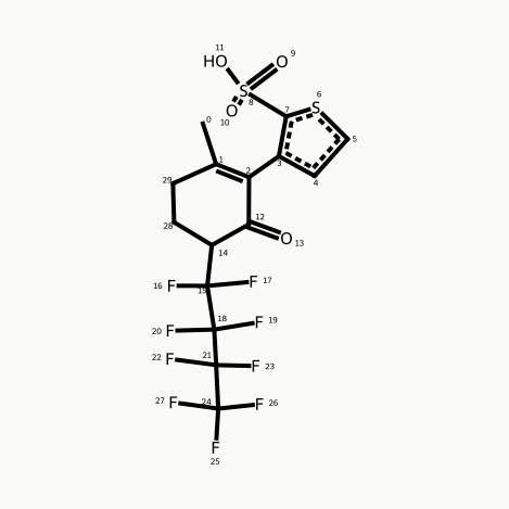 CC1=C(c2ccsc2S(=O)(=O)O)C(=O)C(C(F)(F)C(F)(F)C(F)(F)C(F)(F)F)CC1